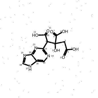 O=C(O)CC(O)(C(=O)O)C(C(=O)O)c1ncc2[nH]cnc2n1